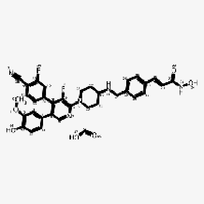 COc1cc(-c2cnc(N3CCC(NCc4ccc(/C=C/C(=O)NO)cc4)CC3)c(F)c2-c2ccc(C#N)c(F)c2)ccc1O.O=CO